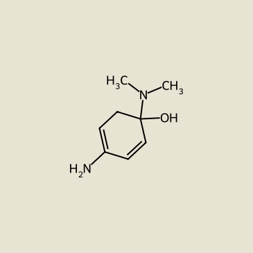 CN(C)C1(O)C=CC(N)=CC1